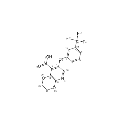 O=C(O)c1c(Oc2cccc(C(F)(F)F)c2)nnc2c1OCCO2